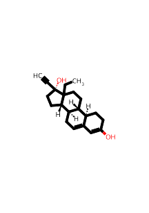 C#C[C@]1(O)CC[C@H]2[C@@H]3CC=C4C=C(O)CC[C@@H]4[C@H]3CCC21CC